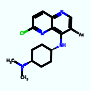 CC(=O)c1cnc2ccc(Cl)nc2c1N[C@H]1CC[C@H](N(C)C)CC1